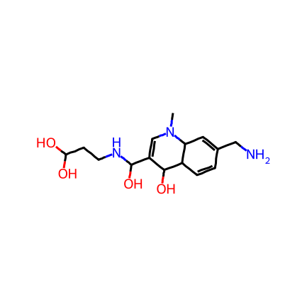 CN1C=C(C(O)NCCC(O)O)C(O)C2C=CC(CN)=CC21